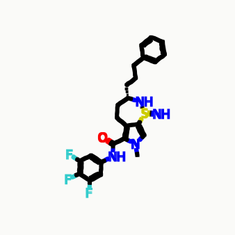 Cn1cc2c(c1C(=O)Nc1cc(F)c(F)c(F)c1)CC[C@H](CCCc1ccccc1)NS2=N